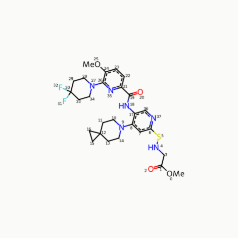 COC(=O)CNSc1cc(N2CCC3(CC2)CC3)c(NC(=O)c2ccc(OC)c(N3CCC(F)(F)CC3)n2)cn1